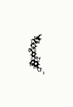 Cc1cnc(N2CCN(C(=O)c3ccc(Nc4ccnc5cc(C(F)(F)F)ccc45)cc3)CC2)c(C)n1